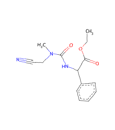 CCOC(=O)C(NC(=O)N(C)CC#N)c1ccccc1